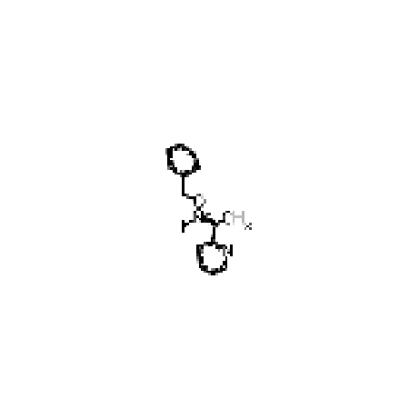 CC(c1ccccn1)=[N+](I)OCc1ccccc1